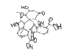 CCc1[nH]c2ccc(C(=O)O)cc2c1C1(c2c(CC)[nH]c3ccc(C(=O)O)cc23)C(=O)C(O)=CC(=O)C1O